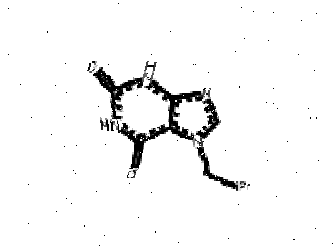 CC(C)Cn1cnc2[nH]c(=O)[nH]c(=O)c21